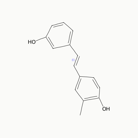 Cc1cc(/C=C/c2cccc(O)c2)ccc1O